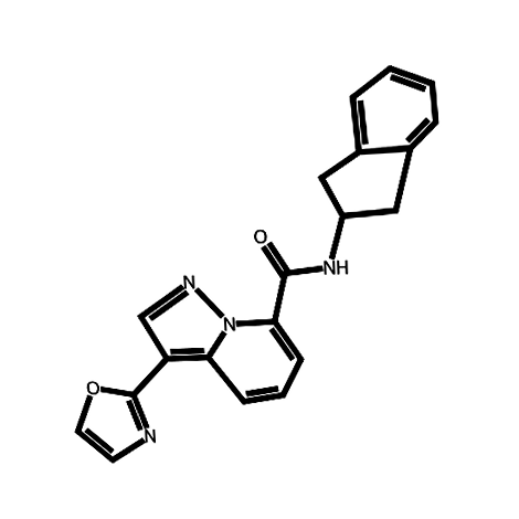 O=C(NC1Cc2ccccc2C1)c1cccc2c(-c3ncco3)cnn12